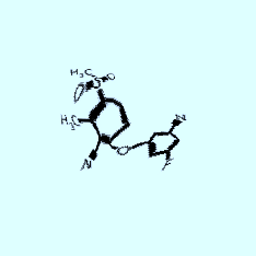 Cc1c(S(C)(=O)=O)ccc(Oc2cc(F)cc(C#N)c2)c1C#N